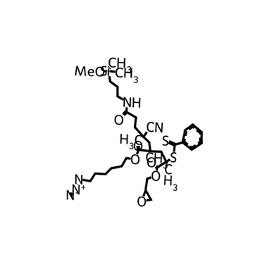 CO[Si](C)(C)CCCNC(=O)CCC(C)(C#N)CC(C)(CC(C)(SC(=S)c1ccccc1)C(=O)OCC1CO1)C(=O)OCCCCCCN=[N+]=[N-]